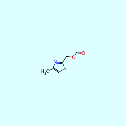 Cc1csc(CO[C]=O)n1